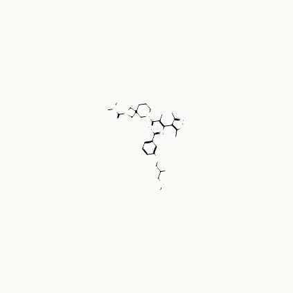 CNCC(O)COc1cccc(-c2nc(-c3c(C)noc3C)c(C)c(N3CCCC4(CN(C(=O)N(C)C)C4)C3)n2)c1